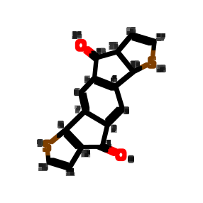 O=C1c2cc3c(cc2-c2sccc21)C(=O)C1C=CSC31